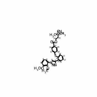 COc1cccc(-n2cc(-c3ccccc3Sc3ccc(C(=O)OCC[N+](C)(C)C)cc3)nn2)c1OC